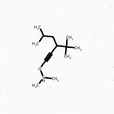 CC(C)CC(C#CO[SiH](C)C)C(C)(C)C